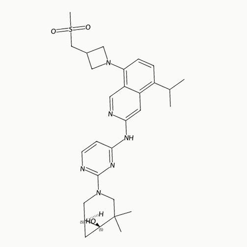 CC(C)c1ccc(N2CC(CS(C)(=O)=O)C2)c2cnc(Nc3ccnc(N4C[C@@H]5C[C@@]5(O)C(C)(C)C4)n3)cc12